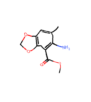 COC(=O)c1c(N)c(C)cc2c1OCO2